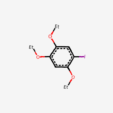 CCOc1cc(OCC)c(OCC)cc1I